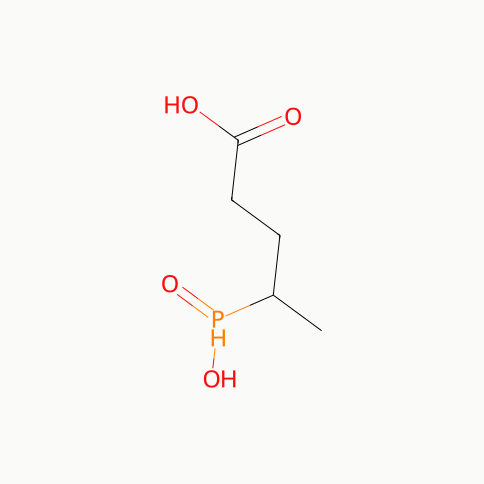 CC(CCC(=O)O)[PH](=O)O